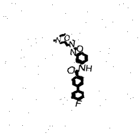 CN1CCOC(CN(C)c2nc3cc(NC(=O)c4ccc(-c5ccc(F)cc5)cc4)ccc3o2)C1